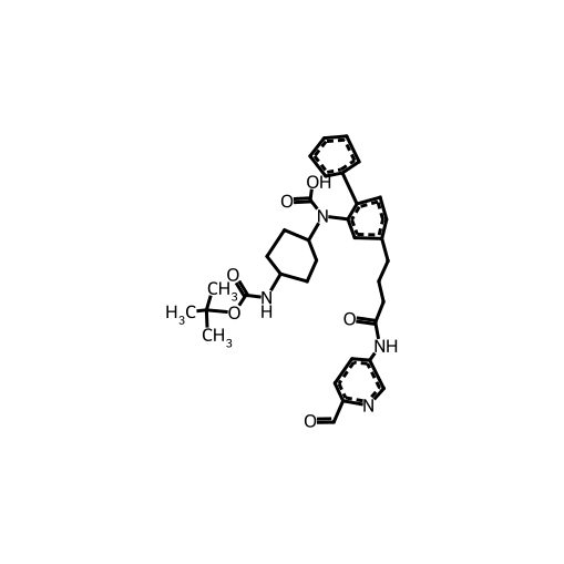 CC(C)(C)OC(=O)NC1CCC(N(C(=O)O)c2cc(CCCC(=O)Nc3ccc(C=O)nc3)ccc2-c2ccccc2)CC1